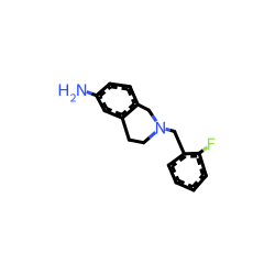 Nc1ccc2c(c1)CCN(Cc1ccccc1F)C2